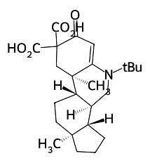 CC(C)(C)N1C[C@H]2[C@@H]3CCC[C@@]3(C)CC[C@@H]2[C@@]2(C)CC(C(=O)O)(C(=O)O)C(=O)C=C12